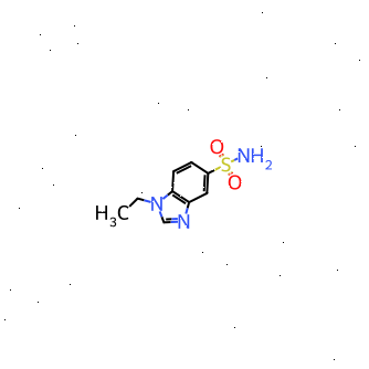 CCn1cnc2cc(S(N)(=O)=O)ccc21